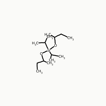 CCC(C)O[Si](OC(C)CC)(C(C)C)C(C)C